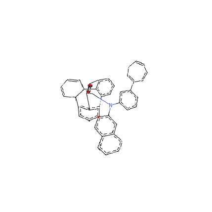 c1c(N(c2cccc(C3=CCC=CC=C3)c2)c2ccc3ccccc3c2)cc2c(c#1)-c1cccc3c1C1C=CC=CC1c1cccc-3c1-2